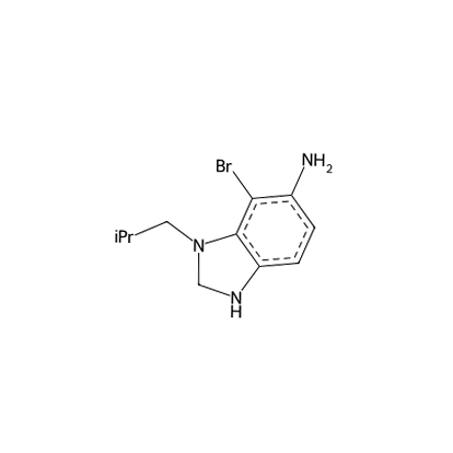 CC(C)CN1CNc2ccc(N)c(Br)c21